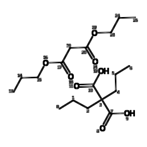 CCCC(CCC)(C(=O)O)C(=O)O.CCCOC(=O)CC(=O)OCCC